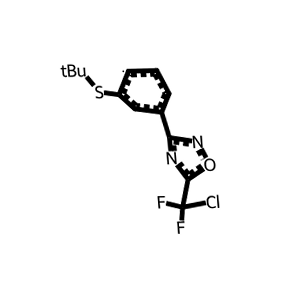 CC(C)(C)Sc1[c]ccc(-c2noc(C(F)(F)Cl)n2)c1